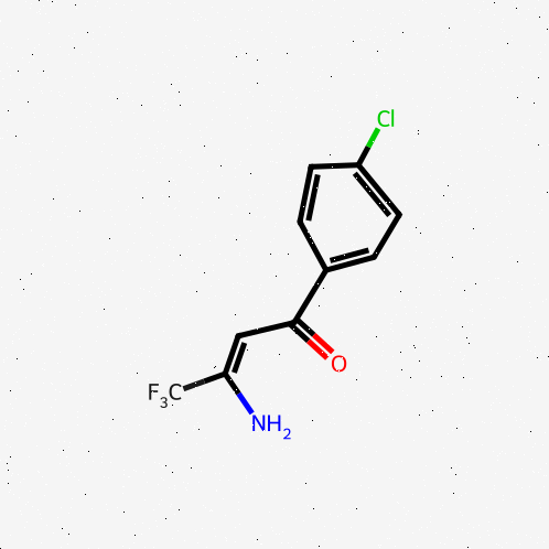 N/C(=C\C(=O)c1ccc(Cl)cc1)C(F)(F)F